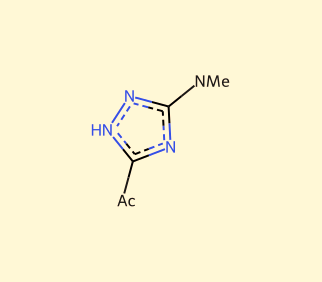 CNc1n[nH]c(C(C)=O)n1